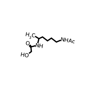 CC(=O)NCCCCC(C)NC(=O)CO